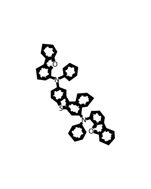 c1ccc(N(c2ccc3sc4cc(N(c5ccccc5)c5cccc6c5oc5ccccc56)c5ccccc5c4c3c2)c2cccc3c2oc2ccccc23)cc1